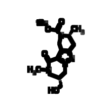 C[C@@H]1Cc2nn3c(c2CN1C(=O)OC(C)(C)C)C(=O)N(C)C[C@@H](CO)C3